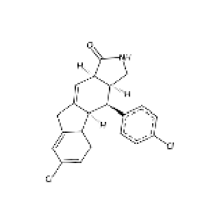 O=C1NC[C@H]2[C@@H](c3ccc(Cl)cc3)[C@@H]3C(=C[C@@H]12)CC1=CC(Cl)=CCC13